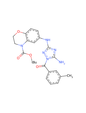 Cc1cccc(C(=O)n2nc(Nc3ccc4c(c3)N(C(=O)OC(C)(C)C)CCO4)nc2N)c1